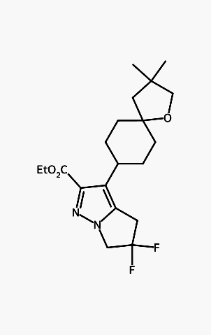 CCOC(=O)c1nn2c(c1C1CCC3(CC1)CC(C)(C)CO3)CC(F)(F)C2